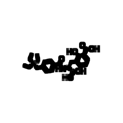 CC[N+](CC)(CC)Cc1ccc(C(=O)N[C@@H](Cc2cccc(C(=O)O)c2O)B(O)O)cc1